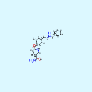 Cc1cc(CCNCC2CC3CCC2C3)ccc1Oc1ccc(C(N)=O)cn1